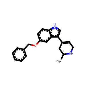 CC1CC(c2c[nH]c3ccc(OCc4ccccc4)cc23)=CCN1